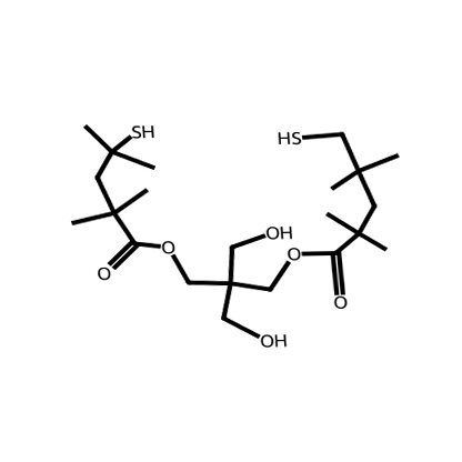 CC(C)(S)CC(C)(C)C(=O)OCC(CO)(CO)COC(=O)C(C)(C)CC(C)(C)CS